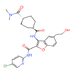 CN(C)C(=O)[C@H]1CC[C@H](C(=O)Nc2c(C(=O)Nc3ccc(Cl)cn3)oc3ccc(CCO)cc23)CC1